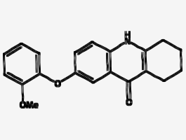 COc1ccccc1Oc1ccc2[nH]c3c(c(=O)c2c1)CCCC3